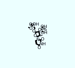 COP(=O)(O)CO[C@H]1O[C@@H](n2ccc(=O)[nH]c2=O)[C@H](C)[C@@H]1OP(O)(O)=S